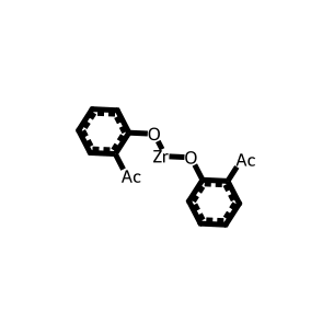 CC(=O)c1ccccc1[O][Zr][O]c1ccccc1C(C)=O